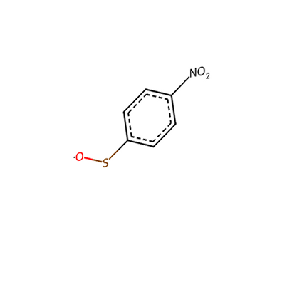 [O]Sc1ccc([N+](=O)[O-])cc1